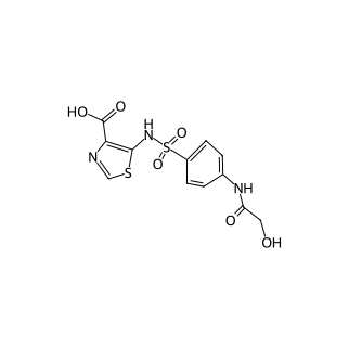 O=C(CO)Nc1ccc(S(=O)(=O)Nc2scnc2C(=O)O)cc1